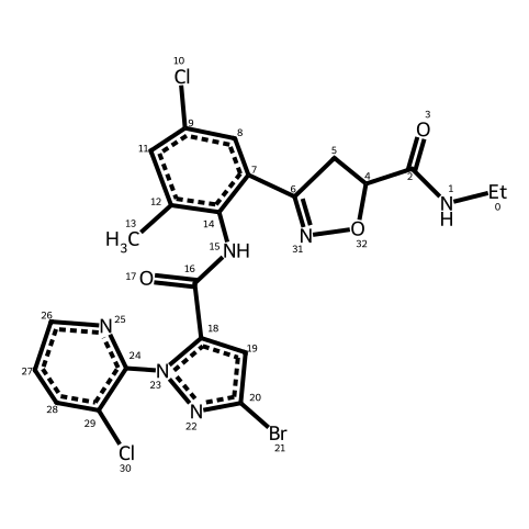 CCNC(=O)C1CC(c2cc(Cl)cc(C)c2NC(=O)c2cc(Br)nn2-c2ncccc2Cl)=NO1